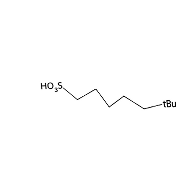 CC(C)(C)CCCCCS(=O)(=O)O